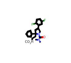 CN(C)C(=O)N1CC(c2cc(F)ccc2F)=CC1(CCC(=O)O)c1ccccc1